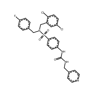 O=C(NCc1ccncc1)Nc1ccc(S(=O)(=O)N(Cc2ccc(F)cc2)Cc2cc(Cl)ccc2Cl)cc1